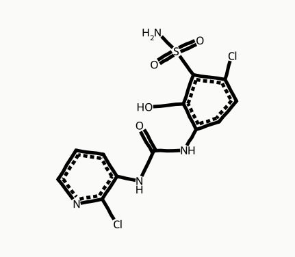 NS(=O)(=O)c1c(Cl)ccc(NC(=O)Nc2cccnc2Cl)c1O